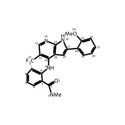 CNC(=O)c1ccccc1Nc1c(C(F)(F)F)cnc2[nH]c(-c3ccccc3OC)cc12